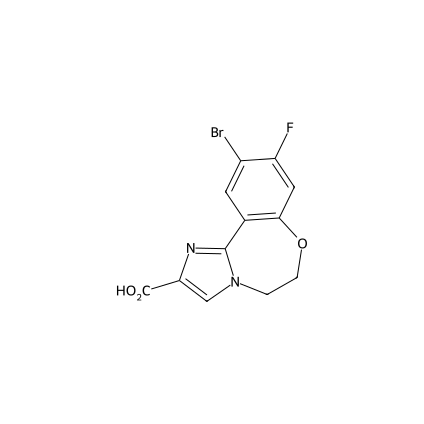 O=C(O)c1cn2c(n1)-c1cc(Br)c(F)cc1OCC2